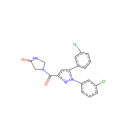 O=C1CN(C(=O)c2cc(-c3cccc(Cl)c3)n(-c3cccc(Cl)c3)n2)CN1